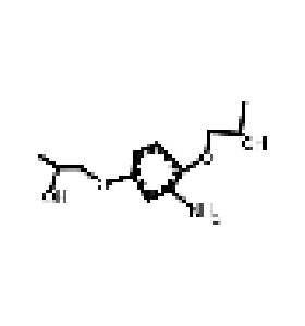 CC(O)COc1ccc(OCC(C)O)c(N)c1